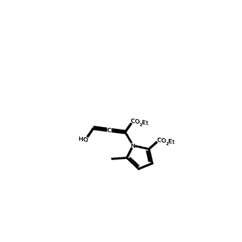 CCOC(=O)C(=C=CO)n1c(C)ccc1C(=O)OCC